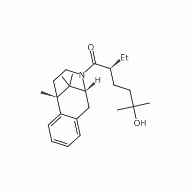 CC[C@@H](CCC(C)(C)O)C(=O)N1CC[C@@]2(C)c3ccccc3C[C@@H]1C2(C)C